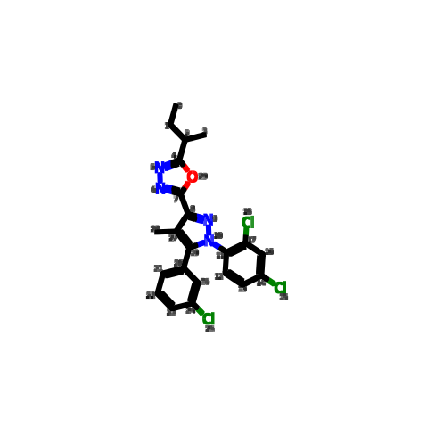 CCC(C)c1nnc(-c2nn(-c3ccc(Cl)cc3Cl)c(-c3cccc(Cl)c3)c2C)o1